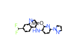 COc1nc(-n2cccn2)ccc1Nc1ccnc2cc(C(F)F)ccc12